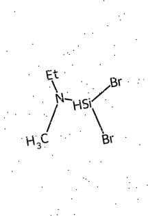 CCN(C)[SiH](Br)Br